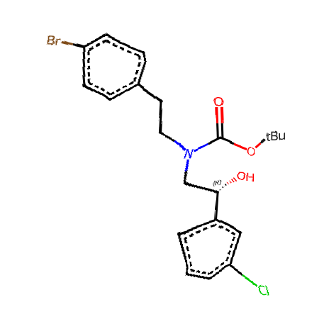 CC(C)(C)OC(=O)N(CCc1ccc(Br)cc1)C[C@H](O)c1cccc(Cl)c1